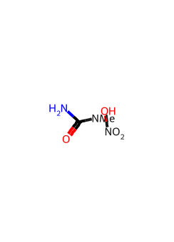 CNC(N)=O.O=[N+]([O-])O